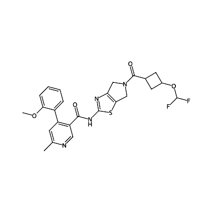 COc1ccccc1-c1cc(C)ncc1C(=O)Nc1nc2c(s1)CN(C(=O)C1CC(OC(F)F)C1)C2